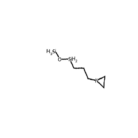 [SiH3]O[SiH2]CCCN1CC1